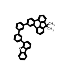 CC1(C)c2cccc3c4ccc(-c5cccc(-c6cccc(-c7cccc8c7sc7ccccc78)c6)c5)cc4c4cccc1c4c23